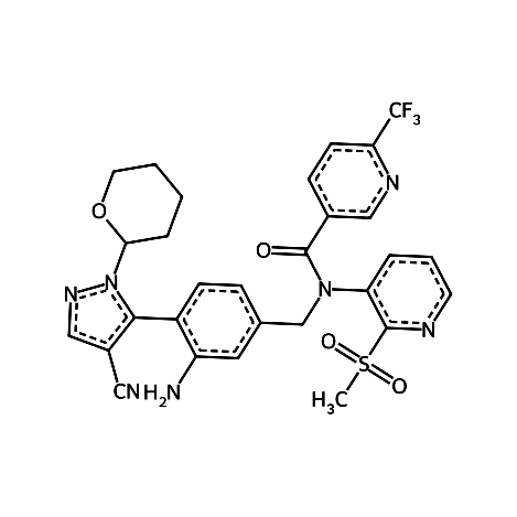 CS(=O)(=O)c1ncccc1N(Cc1ccc(-c2c(C#N)cnn2C2CCCCO2)c(N)c1)C(=O)c1ccc(C(F)(F)F)nc1